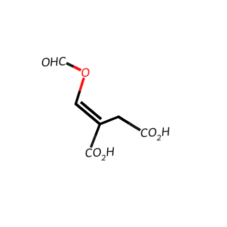 O=COC=C(CC(=O)O)C(=O)O